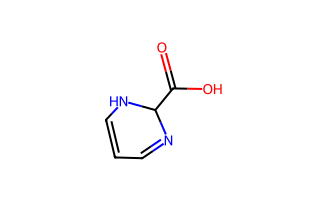 O=C(O)C1N=CC=CN1